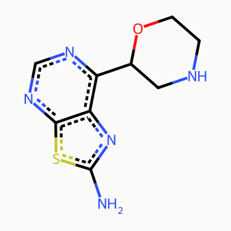 Nc1nc2c(C3CNCCO3)ncnc2s1